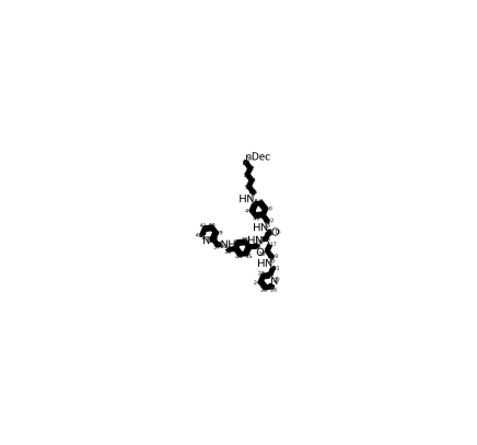 CCCCCCCCCCCCCCCCNc1ccc(CNC(=O)[C@H](CCCNCc2ccccn2)NC(=O)c2ccc(CNCc3ccccn3)cc2)cc1